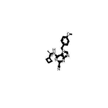 COc1ccc(Cn2cnc3nc(C#N)nc(N[C@H](C)C4CCC4)c32)cc1